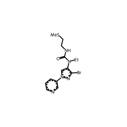 CCN(C(=O)NCCSC)c1cn(-c2cccnc2)nc1Br